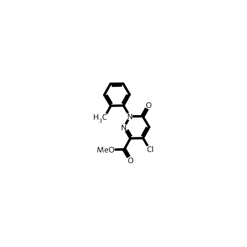 COC(=O)c1nn(-c2ccccc2C)c(=O)cc1Cl